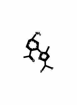 CC(=O)c1ccc(N)cc1-n1nc(C(F)F)cc1C